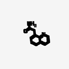 NC(=O)Cc1cccc2cccnc12